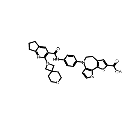 O=C(O)c1cc2c(s1)-c1sccc1N(c1ccc(NC(=O)c3cc4c(nc3N3CC5(CCOCC5)C3)CCC4)cc1)CC2